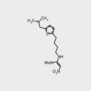 CN/C(=C\[N+](=O)[O-])NCCCCc1ccc(CN(C)C)s1